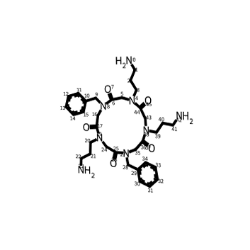 NCCCN1CC(=O)N(Cc2ccccc2)CC(=O)N(CCCN)CC(=O)N(Cc2ccccc2)CC(=O)N(CCCN)CC1=O